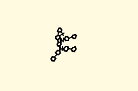 CC1(C)c2ccccc2-c2ccc3c4ccc(N(c5ccc(-c6ccccc6)cc5)c5ccc(-c6ccccc6)cc5)cc4n(-c4ccc(-c5ccccc5)cc4)c3c21